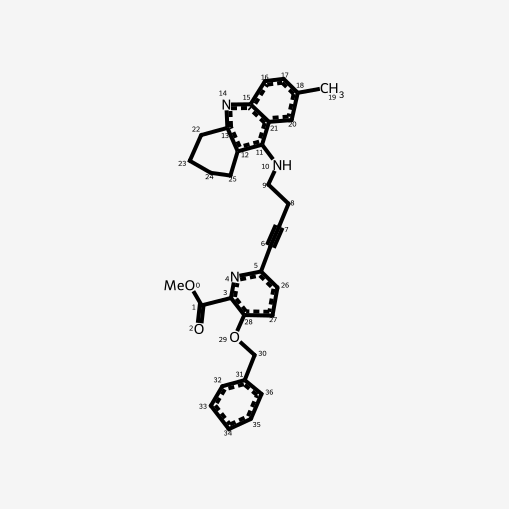 COC(=O)c1nc(C#CCCNc2c3c(nc4ccc(C)cc24)CCCC3)ccc1OCc1ccccc1